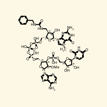 CO[C@@H]1[C@H](OP(=O)(O)OC[C@H]2O[C@@H](n3ccc(=O)[nH]c3=O)[C@H](O)[C@@H]2O)[C@@H](COP(=O)(O)OP(=O)(O)OP(=O)(O)OC[C@H]2O[C@@H](n3c[n+](C)c4c(=O)[nH]c(N)nc43)[C@H](O)[C@@H]2CNC(=O)NCc2ccccc2)O[C@H]1n1cnc2c(N)ncnc21